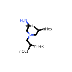 CCCCCCCCC(CCCCCC)CN(CCN)CC(CCCCCC)CCCCCCCC